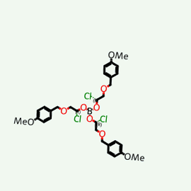 COc1ccc(COC[C@@H](Cl)OB(O[C@H](Cl)COCc2ccc(OC)cc2)O[C@H](Cl)COCc2ccc(OC)cc2)cc1